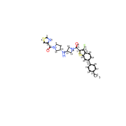 O=C(c1cscn1)N1CC[C@H](NC2CN(C(=O)c3sc4cc(-c5ccc(C(F)(F)F)cc5)ccc4c3F)C2)C1